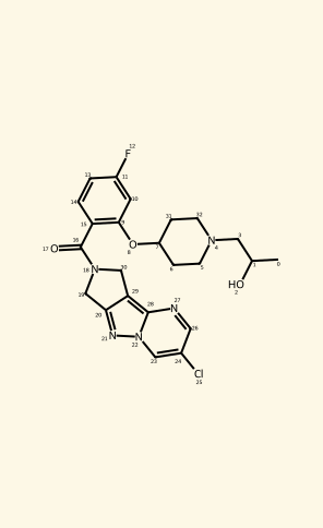 CC(O)CN1CCC(Oc2cc(F)ccc2C(=O)N2Cc3nn4cc(Cl)cnc4c3C2)CC1